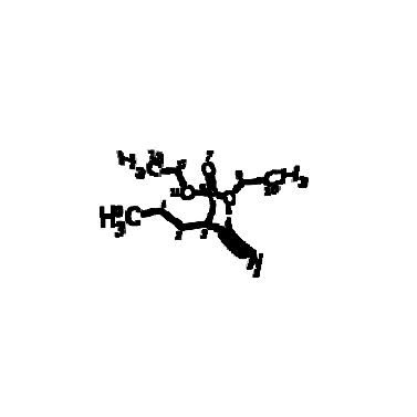 CCCC(C#N)P(=O)(OCC)OCC